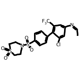 C/C=N\c1cc(Cl)c(-c2ccc(S(=O)(=O)N3CCS(=O)(=O)CC3)cc2)c(C(F)(F)F)c1